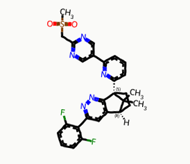 CC1(C)[C@H]2CC[C@]1(c1cccc(-c3cnc(CS(C)(=O)=O)nc3)n1)c1nnc(-c3c(F)cccc3F)cc12